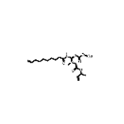 C=CCCCCCCCC(=O)N/C(=N/C(=O)OC(C)(C)C)N(C)CC(=O)OC(C)C=C